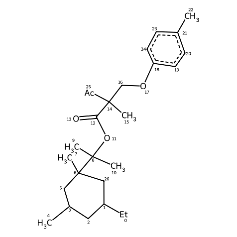 CCC1CC(C)CC(C)(C(C)(C)OC(=O)C(C)(COc2ccc(C)cc2)C(C)=O)C1